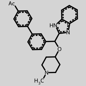 CC(=O)c1ccc(-c2cccc(C(OC3CCN(C)CC3)c3nc4ccccc4[nH]3)c2)cc1